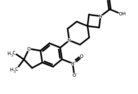 CC1(C)Cc2cc([N+](=O)[O-])c(N3CCC4(CC3)CN(C(=O)O)C4)cc2O1